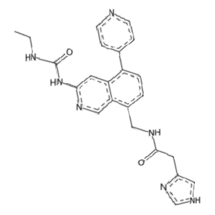 CCNC(=O)Nc1cc2c(-c3ccncc3)ccc(CNC(=O)Cc3c[nH]cn3)c2cn1